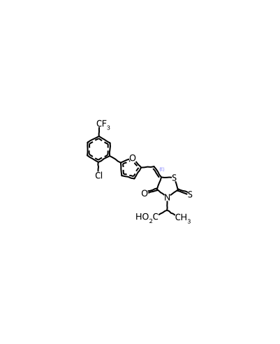 CC(C(=O)O)N1C(=O)/C(=C\c2ccc(-c3cc(C(F)(F)F)ccc3Cl)o2)SC1=S